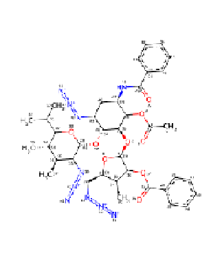 CC(=O)OC1[C@@H](O[C@@H]2O[C@H](CN=[N+]=[N-])[C@H](C)C2OC(=O)c2ccccc2)[C@H](O[C@H]2OC(C(C)C)[C@@H](C)[C@H](C)C2N=[N+]=[N-])C(N=[N+]=[N-])C[C@H]1NC(=O)c1ccccc1